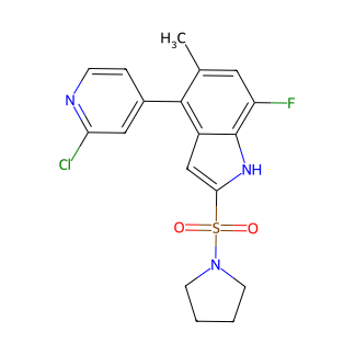 Cc1cc(F)c2[nH]c(S(=O)(=O)N3CCCC3)cc2c1-c1ccnc(Cl)c1